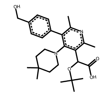 Cc1nc(C)c(C(OC(C)(C)C)C(=O)O)c(N2CCC(C)(C)CC2)c1-c1ccc(CO)cc1